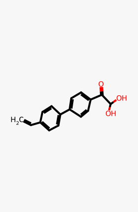 C=Cc1ccc(-c2ccc(C(=O)C(O)O)cc2)cc1